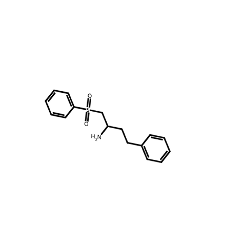 NC(CCc1ccccc1)CS(=O)(=O)c1ccccc1